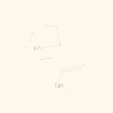 NC(=O)C1CCC2CCC1N2